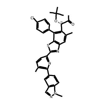 CC(=O)[C@@H](OC(C)(C)C)c1c(C)cc2nc(-c3ccc(C)c(-c4ccc5c(cnn5C)c4)n3)sc2c1-c1ccc(Cl)cc1